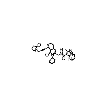 Cc1nn2cccnc2c1C(=O)N[C@H](C)c1cc2cccc(C#CCN3CCCC3=O)c2c(=O)n1-c1ccccc1